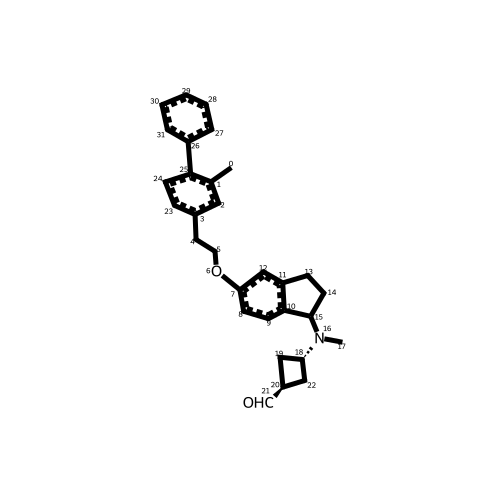 Cc1cc(CCOc2ccc3c(c2)CCC3N(C)[C@H]2C[C@H](C=O)C2)ccc1-c1ccccc1